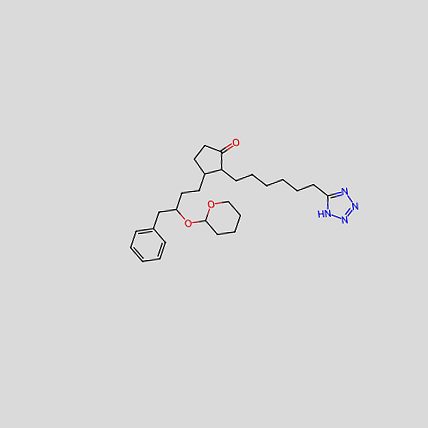 O=C1CCC(CCC(Cc2ccccc2)OC2CCCCO2)C1CCCCCCc1nnn[nH]1